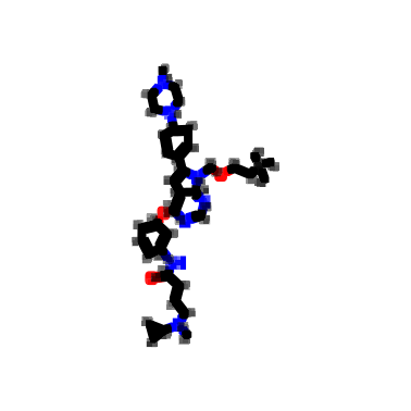 CN1CCN(c2ccc(-c3cc4c(Oc5cccc(NC(=O)/C=C/CN(C)C6CC6)c5)ncnc4n3COCC[Si](C)(C)C)cc2)CC1